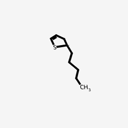 CCCCC[C]1CC=CS1